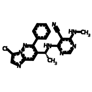 CNc1ncnc(N[C@H](C)c2cc3ncc(Cl)n3nc2-c2ccccc2)c1C#N